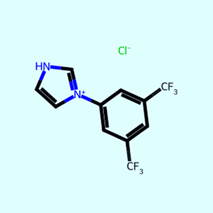 FC(F)(F)c1cc(-[n+]2cc[nH]c2)cc(C(F)(F)F)c1.[Cl-]